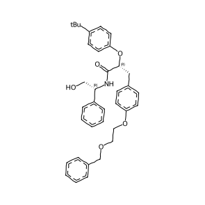 CC(C)(C)c1ccc(O[C@H](Cc2ccc(OCCOCc3ccccc3)cc2)C(=O)N[C@@H](CO)c2ccccc2)cc1